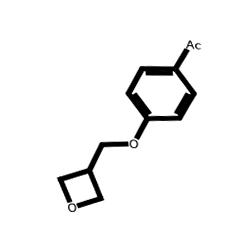 CC(=O)c1ccc(OCC2COC2)cc1